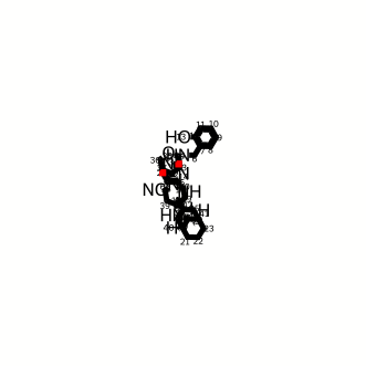 N#Cc1cnc(NCc2ccccc2O)nc1NCC1C[C@H]2CCC[C@@H](C1)[C@@H]2NC1CCN(C2CCOCC2)CC1